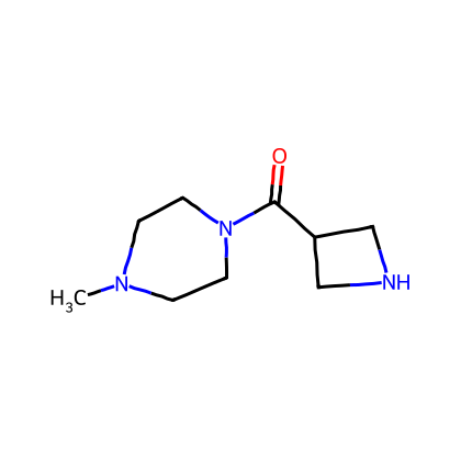 CN1CCN(C(=O)C2CNC2)CC1